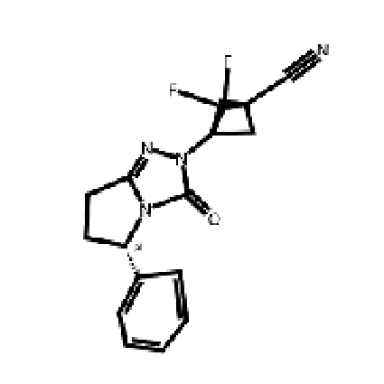 N#CC12CC(n3nc4n(c3=O)[C@H](c3ccccc3)CC4)(C1)C2(F)F